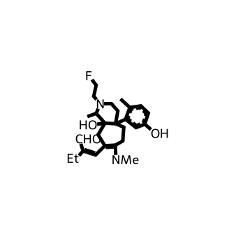 CC/C(C=O)=C/C1=C(NC)CCC2(c3cc(O)ccc3C)CCN(CCF)C(C)C2(O)C1